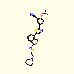 CC(C)Oc1ccc(-c2ncc(-c3cccc4c3CCC4NSCCN3CCCCC3)s2)cc1C#N